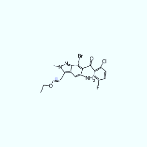 CCO/C=C/c1c2cc(N)c(C(=O)c3cc(F)ccc3Cl)c(Br)c2nn1C